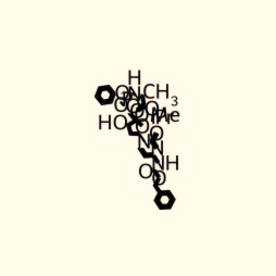 CO[C@]1(COP(=O)(N[C@H](C)C(=O)OC(C)C)Oc2ccccc2)O[C@@H](n2ccc(NC(=O)OCc3ccccc3)nc2=O)C[C@@H]1O